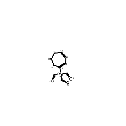 O=[CH][W]([CH]=O)([CH]=O)[C]1=CC=CCCC1